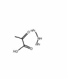 CC(=O)C(=O)O.CCCNCCC